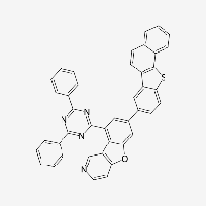 c1ccc(-c2nc(-c3ccccc3)nc(-c3cc(-c4ccc5sc6c7ccccc7ccc6c5c4)cc4oc5ccncc5c34)n2)cc1